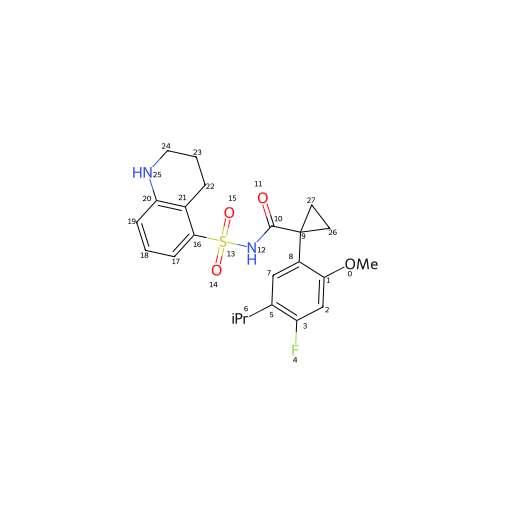 COc1cc(F)c(C(C)C)cc1C1(C(=O)NS(=O)(=O)c2cccc3c2CCCN3)CC1